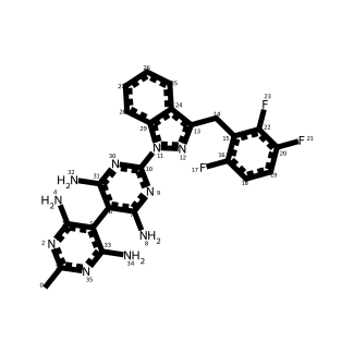 Cc1nc(N)c(-c2c(N)nc(-n3nc(Cc4c(F)ccc(F)c4F)c4ccccc43)nc2N)c(N)n1